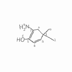 CC1(C)C=CC(O)=C(N)C1